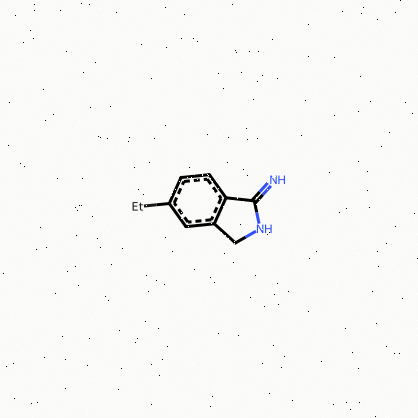 CCc1ccc2c(c1)CNC2=N